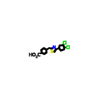 O=C(O)c1ccc(Cc2nc(-c3ccc(Cl)c(Cl)c3)cs2)cc1